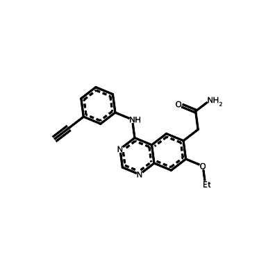 C#Cc1cccc(Nc2ncnc3cc(OCC)c(CC(N)=O)cc23)c1